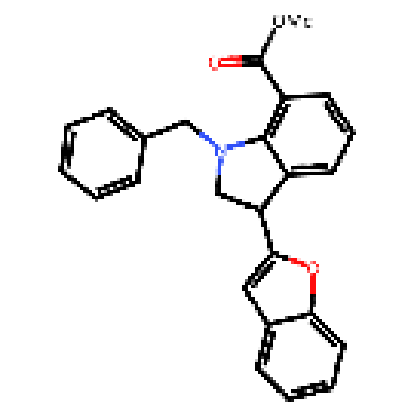 COC(=O)c1cccc2c1N(Cc1ccccc1)CC2c1cc2ccccc2o1